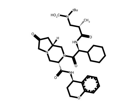 C[C@@H](CN(C(=O)O)C(C)(C)C)C(=O)N[C@H](C(=O)N1C[C@H]2CC(=O)CN2C[C@H]1C(=O)N[C@@H]1CCOc2ccccc21)C1CCCCC1